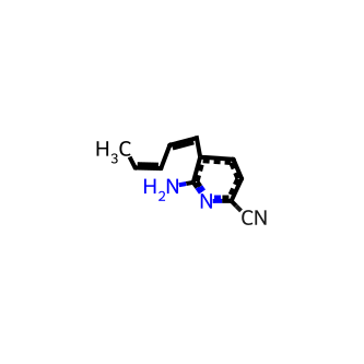 C/C=C\C=C/c1ccc(C#N)nc1N